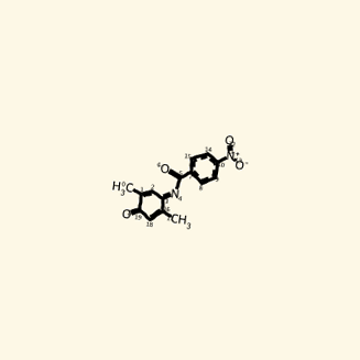 CC1=C/C(=N\C(=O)c2ccc([N+](=O)[O-])cc2)C(C)=CC1=O